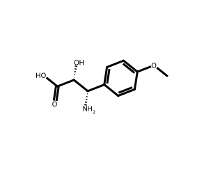 COc1ccc([C@H](N)[C@@H](O)C(=O)O)cc1